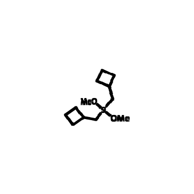 CO[Si](CC1CCC1)(CC1CCC1)OC